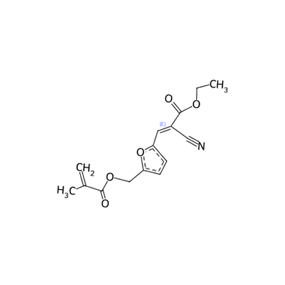 C=C(C)C(=O)OCc1ccc(/C=C(\C#N)C(=O)OCC)o1